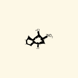 O=[N+]([O-])c1cc(Cl)c2c(c1Cl)=CCCC=2